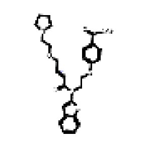 COC(=O)c1ccc(OCCN(C(=O)/C=C/COCCN2CCCC2)c2cc3ccccc3o2)cc1